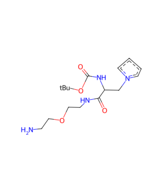 CC(C)(C)OC(=O)NC(Cn1cccc1)C(=O)NCCOCCN